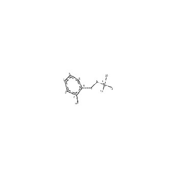 Cc1ccccc1CC[Si](C)(C)C